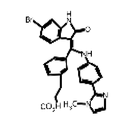 Cn1ccnc1-c1ccc(N/C(=C2\C(=O)Nc3cc(Br)ccc32)c2cccc(CCC(=O)O)c2)cc1